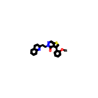 CCOc1ccccc1-c1csc2cnn(CCc3ccc4ccccc4n3)c(=O)c12